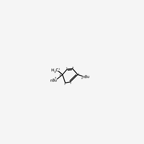 CCCCC1=CCC(C)(CCCC)C=C1